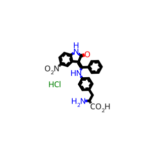 Cl.NC(Cc1ccc(NC(=C2C(=O)Nc3ccc([N+](=O)[O-])cc32)c2ccccc2)cc1)C(=O)O